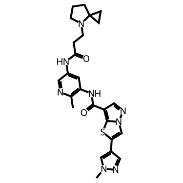 Cc1ncc(NC(=O)CCN2CCCC23CC3)cc1NC(=O)c1cnn2cc(-c3cnn(C)c3)sc12